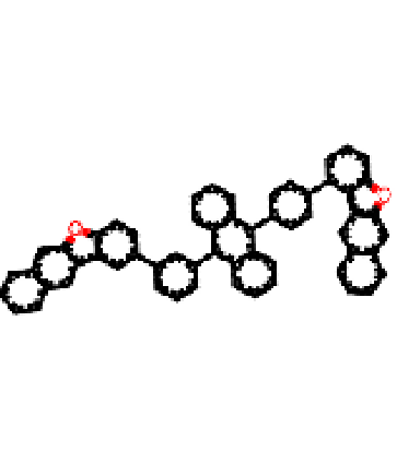 c1cc(-c2ccc3oc4cc5ccccc5cc4c3c2)cc(-c2c3ccccc3c(-c3ccc(-c4cccc5oc6cc7ccccc7cc6c45)cc3)c3ccccc23)c1